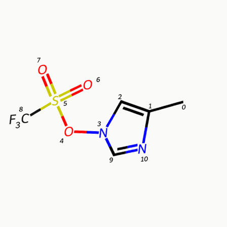 Cc1cn(OS(=O)(=O)C(F)(F)F)cn1